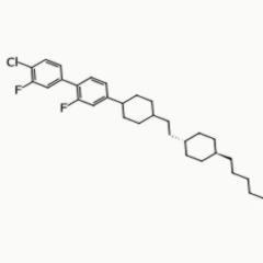 CCCCCC[C@H]1CC[C@H](CCC2CCC(c3ccc(-c4ccc(Cl)c(F)c4)c(F)c3)CC2)CC1